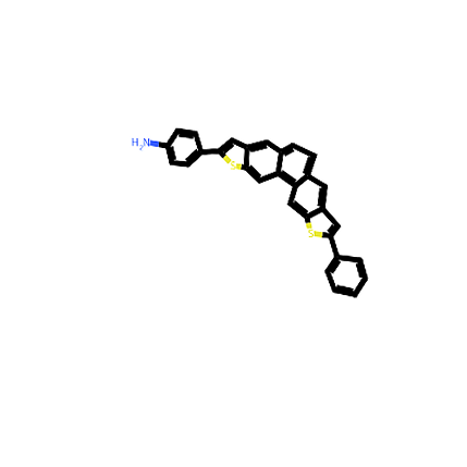 Nc1ccc(-c2cc3cc4ccc5cc6cc(-c7ccccc7)sc6cc5c4cc3s2)cc1